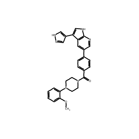 COc1ccccc1N1CCN(C(=O)c2ccc(-c3cnc4[nH]cc(-c5cn[nH]c5)c4c3)cc2)CC1